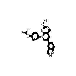 CCOc1ncc2c(n1)N(c1ccc(OC(F)F)cc1)CC(c1ccc3sncc3c1)=C2